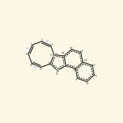 C1=C\C=C/[n+]2c(sc3c4ccccc4ccc32)\C=C/1